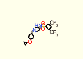 O=S(=O)(N[C@@H]1CCN(Cc2ccc(OC3CC3)cc2)C1)c1cc(C(F)(F)F)cc(C(F)(F)F)c1